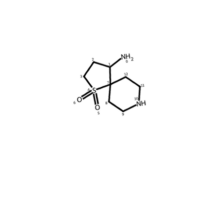 NC1CCS(=O)(=O)C12CCNCC2